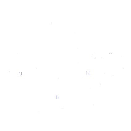 c1ccc(-c2cc(-c3cc(-c4ccccn4)cc(-c4ccccn4)c3)cc(-c3nc(-c4cccc5ccccc45)c4ccccc4n3)c2)cc1